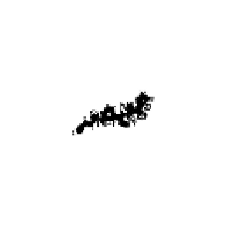 C#CCCC(=O)Nc1cccc(-c2ccnc3c(C(=O)c4cccs4)cnn23)c1